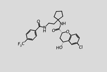 O=C(NCCC1(NC(=O)[C@H]2C[C@@H](O)c3cc(Cl)ccc3O2)CCCC1)c1ccc(C(F)(F)F)cc1